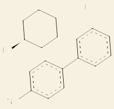 CC[C@H]1CC[C@H](C(=O)O)CC1.N#Cc1ccc(-c2ccccc2)cc1